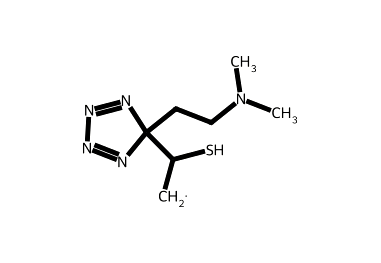 [CH2]C(S)C1(CCN(C)C)N=NN=N1